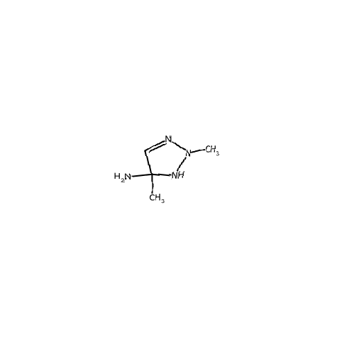 CN1N=CC(C)(N)N1